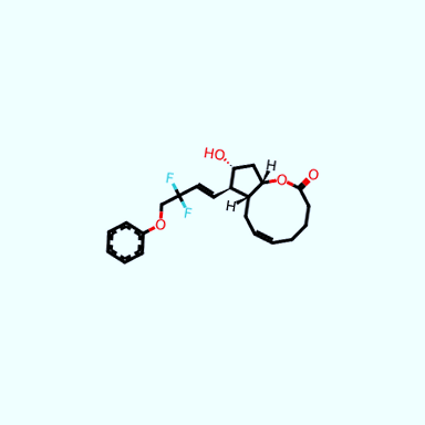 O=C1CCC/C=C\C[C@@H]2[C@@H](/C=C/C(F)(F)COc3ccccc3)[C@H](O)C[C@@H]2O1